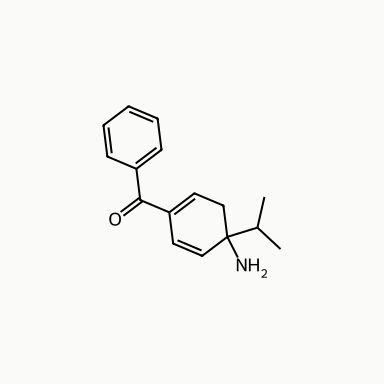 CC(C)C1(N)C=CC(C(=O)c2ccccc2)=CC1